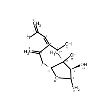 C=C(Cl)/C=C(/CO)C(=C)C[C@H]1OC(N)[C@H](O)[C@]1(C)O